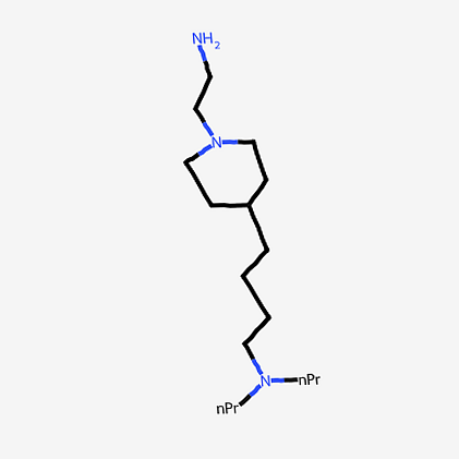 CCCN(CCC)CCCCC1CCN(CCN)CC1